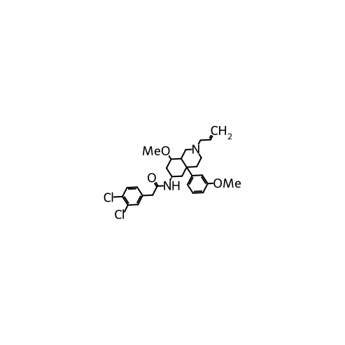 C=CCN1CCC2(c3cccc(OC)c3)C[C@@H](NC(=O)Cc3ccc(Cl)c(Cl)c3)CC(OC)C2C1